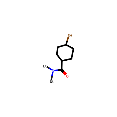 CCN(CC)C(=O)C1CCC(S)CC1